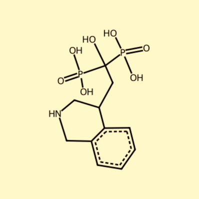 O=P(O)(O)C(O)(CC1CNCc2ccccc21)P(=O)(O)O